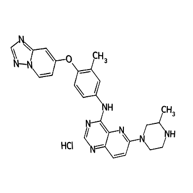 Cc1cc(Nc2ncnc3ccc(N4CCNC(C)C4)nc23)ccc1Oc1ccn2ncnc2c1.Cl